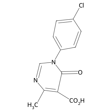 Cc1ncn(-c2ccc(Cl)cc2)c(=O)c1C(=O)O